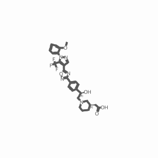 COc1ccccc1-n1ncc(-c2nc(-c3ccc([C@@H](O)CN4CCC[C@H](CC(=O)O)C4)cc3)no2)c1C(F)(F)F